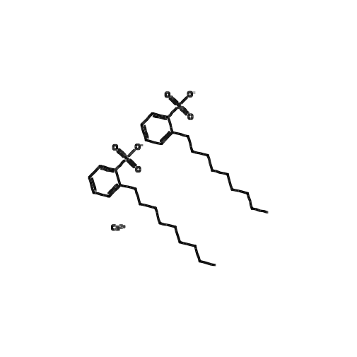 CCCCCCCCCc1ccccc1S(=O)(=O)[O-].CCCCCCCCCc1ccccc1S(=O)(=O)[O-].[Ca+2]